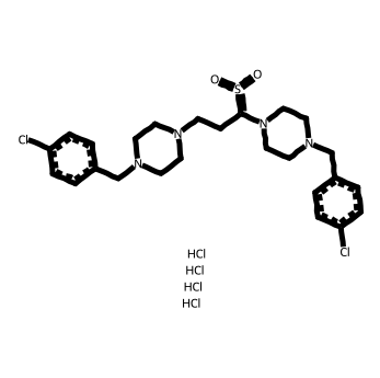 Cl.Cl.Cl.Cl.O=S(=O)=C(CCN1CCN(Cc2ccc(Cl)cc2)CC1)N1CCN(Cc2ccc(Cl)cc2)CC1